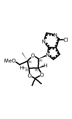 COC[C@@]1(C)O[C@@H](n2ccc3c(Cl)ncnc32)[C@@H]2OC(C)(C)O[C@H]21